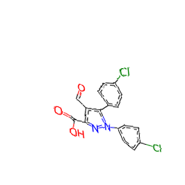 O=Cc1c(C(=O)O)nn(-c2ccc(Cl)cc2)c1-c1ccc(Cl)cc1